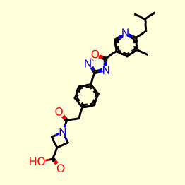 Cc1cc(-c2nc(-c3ccc(CC(=O)N4CC(C(=O)O)C4)cc3)no2)cnc1CC(C)C